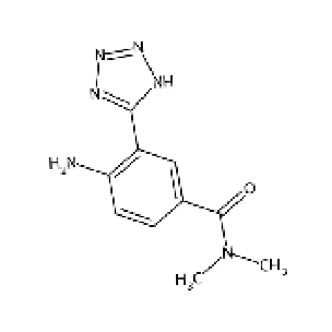 CN(C)C(=O)c1ccc(N)c(-c2nnn[nH]2)c1